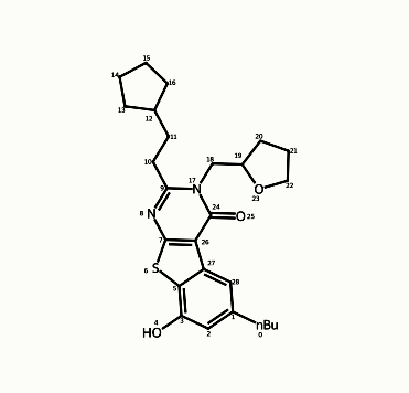 CCCCc1cc(O)c2sc3nc(CCC4CCCC4)n(CC4CCCO4)c(=O)c3c2c1